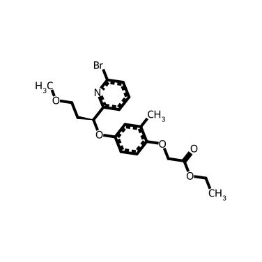 CCOC(=O)COc1ccc(O[C@@H](CCOC)c2cccc(Br)n2)cc1C